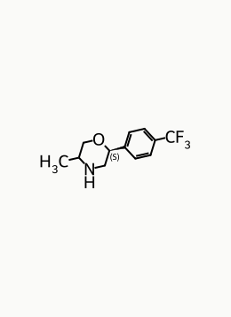 CC1CO[C@@H](c2ccc(C(F)(F)F)cc2)CN1